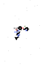 Cc1ccc(OCc2ncccc2F)cc1N1Cc2nn(CC3CC3)cc2NC1=O